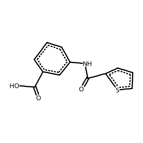 O=C(O)c1cccc(NC(=O)c2cccs2)c1